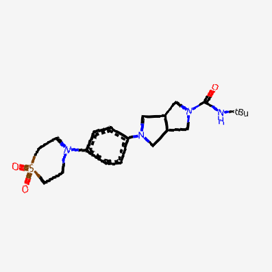 CC(C)(C)NC(=O)N1CC2CN(c3ccc(N4CCS(=O)(=O)CC4)cc3)CC2C1